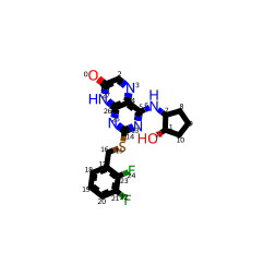 O=c1cnc2c(NC3CCCC3O)nc(SCc3cccc(F)c3F)nc2[nH]1